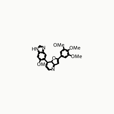 COc1cc2[nH]cnc2cc1C1C=CN=C2C=C(c3cc(OC)c(OC)c(OC)c3)OC21